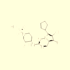 CS(=O)(=O)N1CC[C@@H](Nc2ncc3c(F)c(Cl)c(C4CCCC4)n3n2)[C@H](F)C1